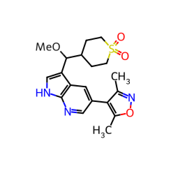 COC(c1c[nH]c2ncc(-c3c(C)noc3C)cc12)C1CCS(=O)(=O)CC1